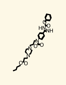 CCCCOC(=O)CCN1CCN(CC2CN(c3ccc(C(=N)NC(=O)Oc4ccccc4)cc3)C(=O)O2)CC1